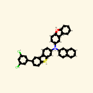 Clc1cc(Cl)cc(-c2ccc3sc4cc(N(c5ccc6ccccc6c5)c5ccc6oc7ccccc7c6c5)ccc4c3c2)c1